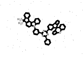 CC1(C)c2ccccc2-c2c1ccc1c2c2ccccc2n1-c1cccc(-c2nc(-c3ccccc3)nc(-c3ccc4c(c3)C3(c5ccccc5Oc5ccccc53)c3ccccc3-4)n2)c1